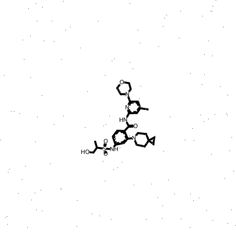 Cc1cc(NC(=O)c2ccc(NS(=O)(=O)C(C)CO)cc2N2CCC3(CC2)CC3)nc(N2CCOCC2)c1